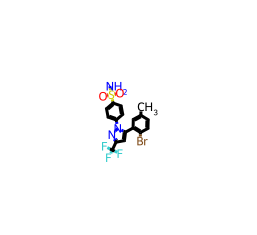 Cc1ccc(Br)c(-c2cc(C(F)(F)F)nn2-c2ccc(S(N)(=O)=O)cc2)c1